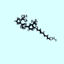 CCCCCC=CCOc1ccc(-c2noc([C@@H]3CCCN3C(=O)O)n2)cc1C(F)(F)F